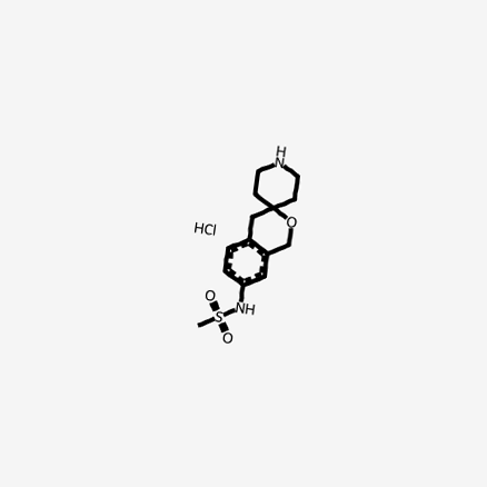 CS(=O)(=O)Nc1ccc2c(c1)COC1(CCNCC1)C2.Cl